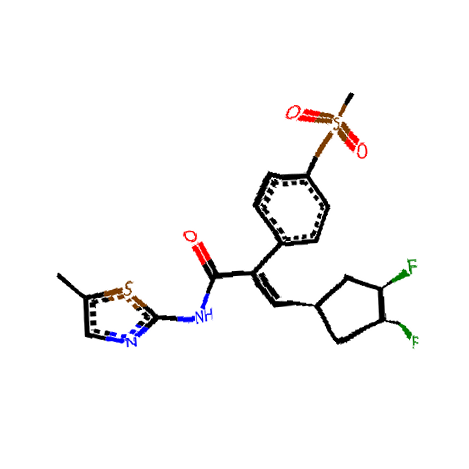 Cc1cnc(NC(=O)/C(=C/[C@H]2C[C@@H](F)[C@@H](F)C2)c2ccc(S(C)(=O)=O)cc2)s1